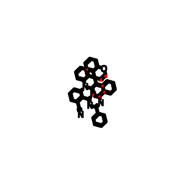 N#Cc1cccc(N2c3ccccc3C3(c4ccccc4Oc4ccccc43)c3ccccc32)c1-c1nc(-c2ccccc2)nc(-c2ccccc2)n1